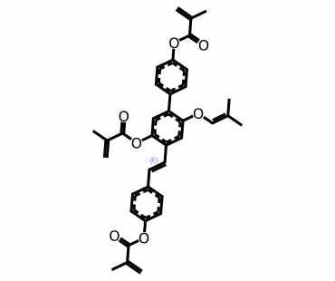 C=C(C)C(=O)Oc1ccc(/C=C/c2cc(OC=C(C)C)c(-c3ccc(OC(=O)C(=C)C)cc3)cc2OC(=O)C(=C)C)cc1